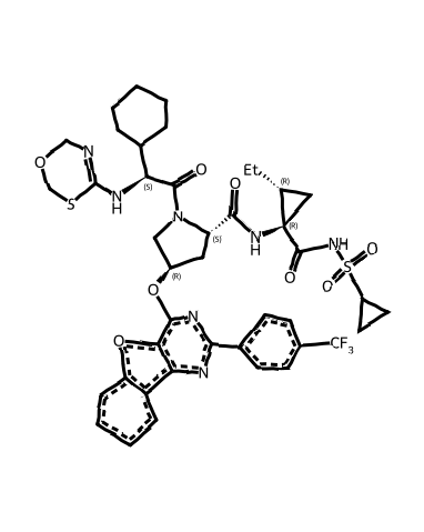 CC[C@@H]1C[C@]1(NC(=O)[C@@H]1C[C@@H](Oc2nc(-c3ccc(C(F)(F)F)cc3)nc3c2oc2ccccc23)CN1C(=O)[C@@H](NC1=NCOCS1)C1CCCCC1)C(=O)NS(=O)(=O)C1CC1